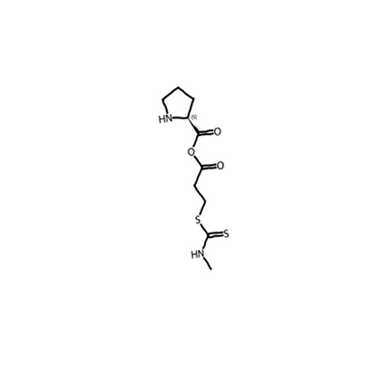 CNC(=S)SCCC(=O)OC(=O)[C@@H]1CCCN1